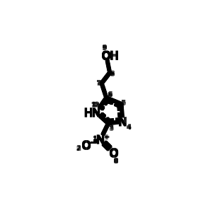 O=[N+]([O-])c1ncc(CCO)[nH]1